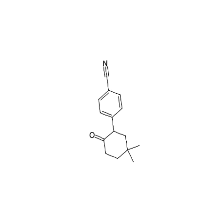 CC1(C)CCC(=O)C(c2ccc(C#N)cc2)C1